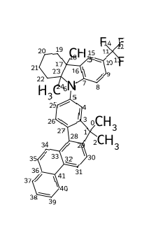 CC1(C)c2cc(N3c4ccc(C(F)(F)F)cc4C4(C)CCCCC34C)ccc2-c2c1ccc1c2ccc2ccccc21